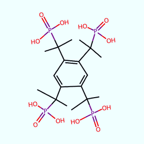 CC(C)(c1cc(C(C)(C)P(=O)(O)O)c(C(C)(C)P(=O)(O)O)cc1C(C)(C)P(=O)(O)O)P(=O)(O)O